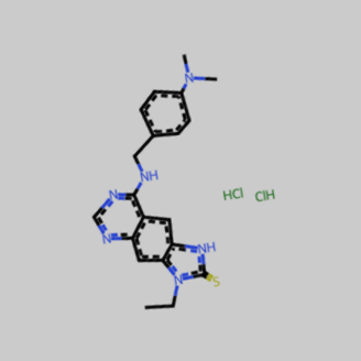 CCn1c(=S)[nH]c2cc3c(NCc4ccc(N(C)C)cc4)ncnc3cc21.Cl.Cl